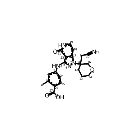 Cc1cc(Nc2nn(C3(CC#N)CCCOC3)c3cc[nH]c(=O)c23)ccc1C(=O)O